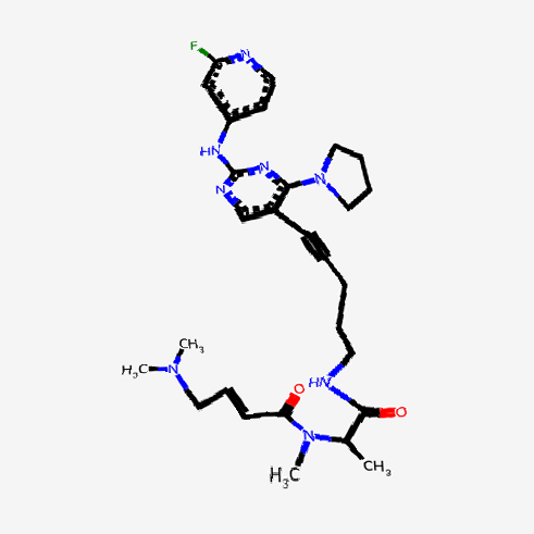 CC(C(=O)NCCCC#Cc1cnc(Nc2ccnc(F)c2)nc1N1CCCC1)N(C)C(=O)C=CCN(C)C